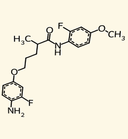 COc1ccc(NC(=O)C(C)CCCOc2ccc(N)c(F)c2)c(F)c1